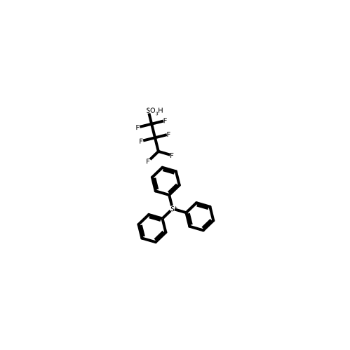 O=S(=O)(O)C(F)(F)C(F)(F)C(F)F.c1ccc([S+](c2ccccc2)c2ccccc2)cc1